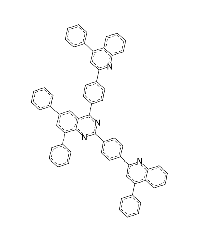 c1ccc(-c2cc(-c3ccccc3)c3nc(-c4ccc(-c5cc(-c6ccccc6)c6ccccc6n5)cc4)nc(-c4ccc(-c5cc(-c6ccccc6)c6ccccc6n5)cc4)c3c2)cc1